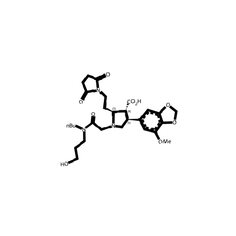 CCCCN(CCCO)C(=O)CN1C[C@H](c2cc(OC)c3c(c2)OCO3)[C@@H](C(=O)O)[C@@H]1CCN1C(=O)CCC1=O